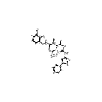 CC(OC(=O)Nc1cc(-c2ccccc2)no1)[C@H](CCC(=O)O)N(C)C(=O)NCc1cccc(F)c1Cl